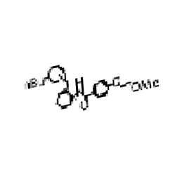 CCCCC1CCCN(C[C@@H]2CCCC[C@H]2NC(=O)c2ccc(OCCOC)cc2)C1